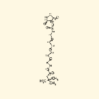 CC(C)(C)CC(=O)OCCOCCOCCOCCC(=O)ON1C(=O)CCC1=O